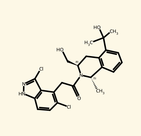 C[C@H]1c2cccc(C(C)(C)O)c2C[C@H](CO)N1C(=O)Cc1c(Cl)ccc2[nH]nc(Cl)c12